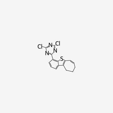 Clc1nc(Cl)nc(-c2cccc3c4c(sc23)C=CCCC4)n1